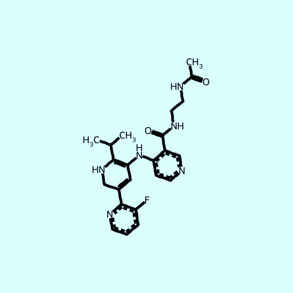 CC(=O)NCCNC(=O)c1cnccc1NC1=C(C(C)C)NCC(c2ncccc2F)=C1